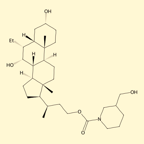 CC[C@H]1[C@@H](O)[C@@H]2[C@H](CC[C@]3(C)[C@@H]([C@H](C)CCOC(=O)N4CCCC(CO)C4)CC[C@@H]23)[C@@]2(C)CC[C@@H](O)C[C@@H]12